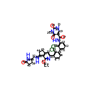 CCOc1nc(-c2cccc(-c3cccc(NC(=O)c4cn(C)c(=O)n(C)c4=O)c3Cl)c2Cl)cc2c1[C@@H](NCC1CCC(=O)N1)CC2